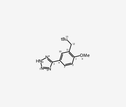 COc1ccc(-c2nn[nH]n2)cc1CC(C)(C)C